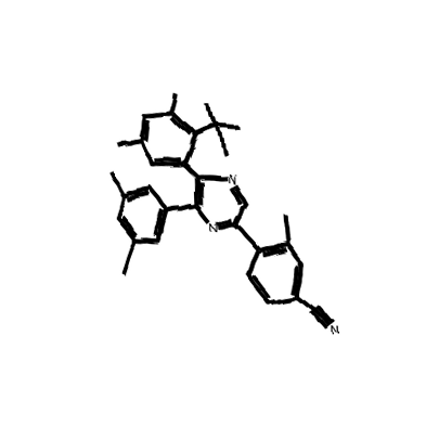 Cc1cc(C)cc(-c2nc(-c3ccc(C#N)cc3C)cnc2-c2cc(C)cc(C)c2C(C)(C)C)c1